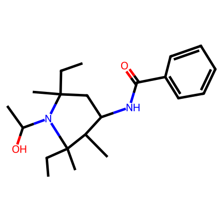 CCC1(C)CC(NC(=O)c2ccccc2)C(C)C(C)(CC)N1C(C)O